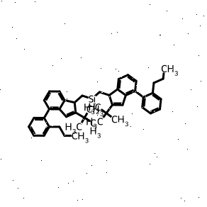 CCCc1ccccc1-c1cccc2c1C=C(C(C)(C)C)C2C[SiH2]CC1C(C(C)(C)C)=Cc2c(-c3ccccc3CCC)cccc21